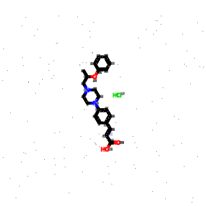 CC(CN1CCN(c2ccc(/C=C/C(=O)O)cc2)CC1)Oc1ccccc1.Cl